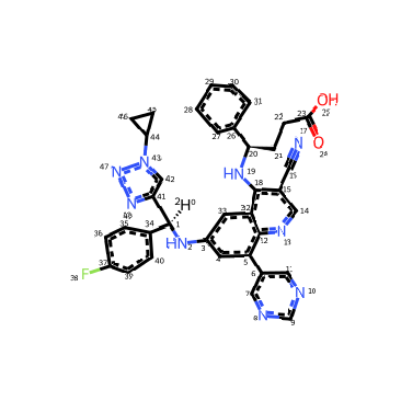 [2H][C@](Nc1cc(-c2cncnc2)c2ncc(C#N)c(N[C@H](CCC(=O)O)c3ccccc3)c2c1)(c1ccc(F)cc1)c1cn(C2CC2)nn1